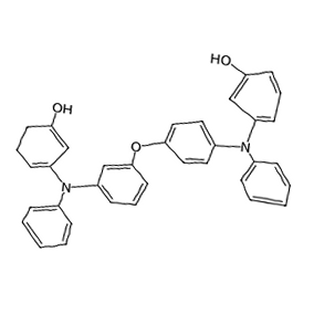 OC1=CC(N(c2ccccc2)c2cccc(Oc3ccc(N(c4ccccc4)c4cccc(O)c4)cc3)c2)=CCC1